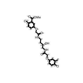 COC(=O)c1cc(OCC(=O)NCC[C@H](O)CNC(=O)COc2ccc(Cl)c(F)c2)ccc1Cl